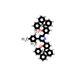 Cc1cc(C)c(-c2cc(-c3cccc4c3Oc3ccccc3[Si]4(c3ccccc3)c3ccccc3)nc(-c3cccc4c3Oc3ccccc3[Si]4(c3ccccc3)c3ccccc3)c2)c(C)c1